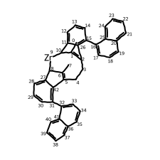 CC1=C2CCC3=C(C)[CH]([Zr][CH]1c1cccc(-c4cccc5ccccc45)c12)c1cccc(-c2cccc4ccccc24)c13